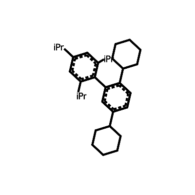 CC(C)c1cc(C(C)C)c(-c2cc(C3CCCCC3)ccc2C2CCCCC2)c(C(C)C)c1